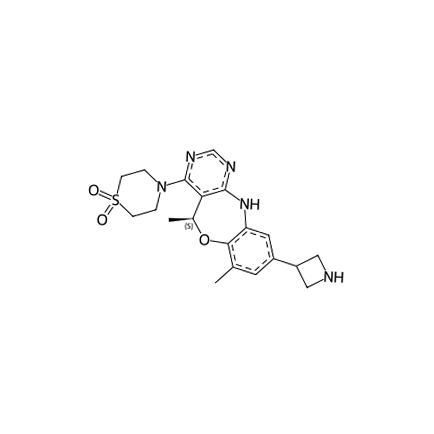 Cc1cc(C2CNC2)cc2c1O[C@@H](C)c1c(ncnc1N1CCS(=O)(=O)CC1)N2